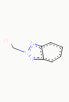 OCn1nc2ccccc2n1